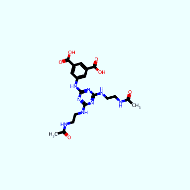 CC(=O)NCCNc1nc(NCCNC(C)=O)nc(Nc2cc(C(=O)O)cc(C(=O)O)c2)n1